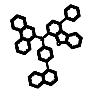 c1ccc(-c2ccc(N(c3ccc(-c4cccc5ccccc45)cc3)c3cc4ccccc4c4ccccc34)c3oc4ccccc4c23)cc1